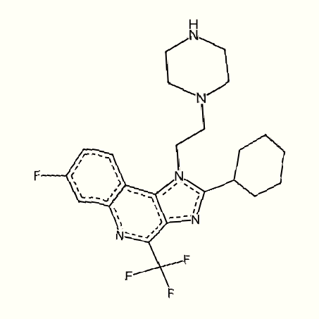 Fc1ccc2c(c1)nc(C(F)(F)F)c1nc(C3CCCCC3)n(CCN3CCNCC3)c12